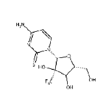 Nc1ccn([C@@H]2O[C@H](CO)C(O)[C@]2(O)C(F)(F)F)c(=S)n1